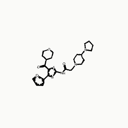 O=C(CN1CCC(N2CCCC2)CC1)Nc1nc(-c2ccco2)c(C(=O)C2CCOCC2)s1